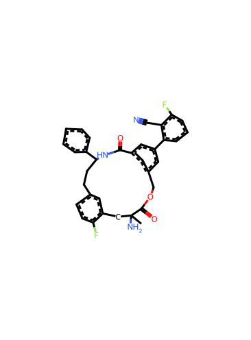 CC1(N)Cc2cc(ccc2F)CCC(c2ccccc2)NC(=O)c2cc(cc(-c3cccc(F)c3C#N)c2)COC1=O